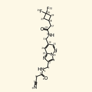 N#CCC(=O)NCc1cn2ncc(CNC(=O)CC3CC(F)(F)C3)cc2n1